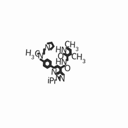 Cc1cc(C)c(CNC(=O)c2cc(-c3ccc(CN(C)CCN4CCCC4)cc3)nc3c2cnn3C(C)C)c(=O)[nH]1